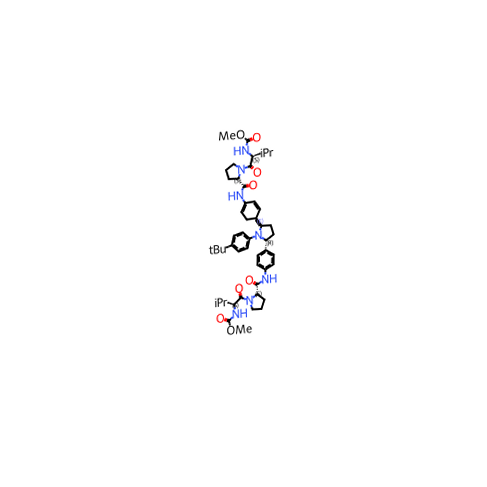 COC(=O)N[C@H](C(=O)N1CCC[C@H]1C(=O)NC1=CC/C(=C2/CC[C@H](c3ccc(NC(=O)[C@@H]4CCCN4C(=O)[C@@H](NC(=O)OC)C(C)C)cc3)N2c2ccc(C(C)(C)C)cc2)C=C1)C(C)C